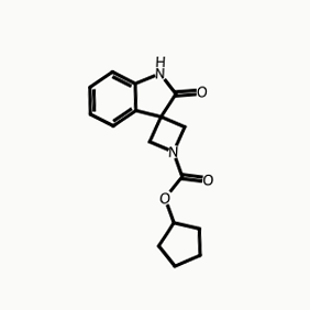 O=C(OC1CCCC1)N1CC2(C1)C(=O)Nc1ccccc12